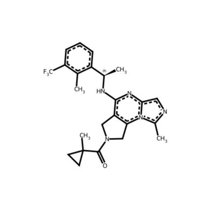 Cc1c([C@@H](C)Nc2nc3cnc(C)n3c3c2CN(C(=O)C2(C)CC2)C3)cccc1C(F)(F)F